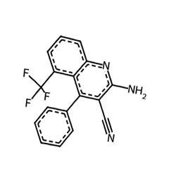 N#Cc1c(N)nc2cccc(C(F)(F)F)c2c1-c1ccccc1